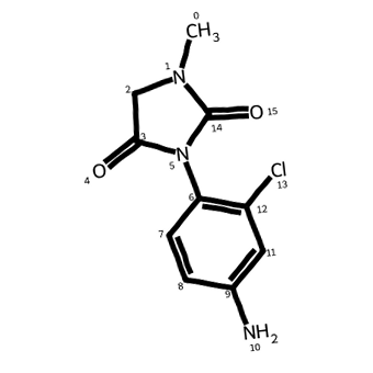 CN1CC(=O)N(c2ccc(N)cc2Cl)C1=O